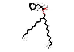 CCCCCCCCCCC(CCCCCCCCCC)COC(=O)C(C)(C)Cc1ccccc1